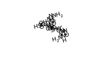 CC1C[C@@H](COP(=O)(S)O[C@H]2[C@H](O)[C@@H](COP(=O)(O)S)O[C@H]2n2c(=O)sc3c(N)ncnc32)O[C@H]1n1cnc2c(=O)[nH]c(N)nc21